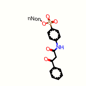 CCCCCCCCCOS(=O)(=O)c1ccc(NC(=O)CC(=O)c2ccccc2)cc1